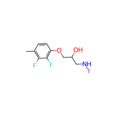 Cc1ccc(OCC(O)CNI)c(F)c1F